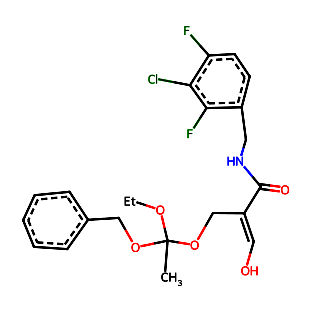 CCOC(C)(OC/C(=C\O)C(=O)NCc1ccc(F)c(Cl)c1F)OCc1ccccc1